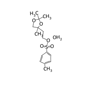 Cc1ccc(S(=O)(=O)OCCC2(C)COC(C)(C)O2)cc1.O